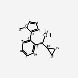 Cn1cccc1-c1ccccc1C(O)C1CC1